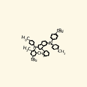 Cc1ccc(N(c2ccc(C(C)(C)C)cc2)c2ccc3cc(N(c4ccc(C)cc4)c4c(C)cc(C(C)(C)C)cc4C)cc(-c4ccccc4)c3c2)cc1